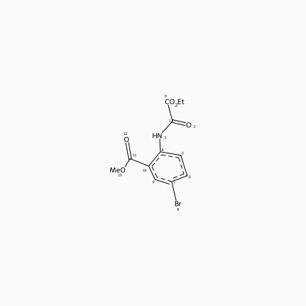 CCOC(=O)C(=O)Nc1ccc(Br)cc1C(=O)OC